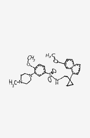 COc1ccc2cccc(C3(CNS(=O)(=O)c4ccc(OC)c(N5CCN(C)CC5)c4)CC3)c2c1